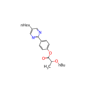 CCCCCCc1cnc(-c2ccc(OC(=O)C(C)OCCCC)cc2)nc1